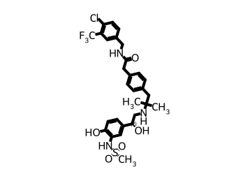 CC(C)(Cc1ccc(CC(=O)NCc2ccc(Cl)c(C(F)(F)F)c2)cc1)NC[C@H](O)c1ccc(O)c(NS(C)(=O)=O)c1